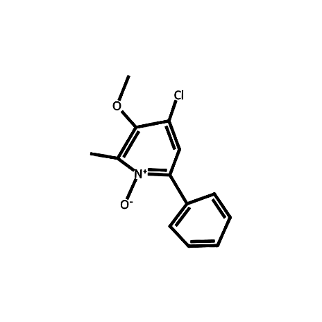 COc1c(Cl)cc(-c2ccccc2)[n+]([O-])c1C